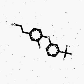 OCCc1ccc(Oc2cccc(C(F)(F)F)c2)c(F)c1